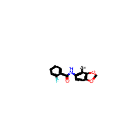 CC(=O)c1c(NC(=O)c2ccccc2F)ccc2c1OCO2